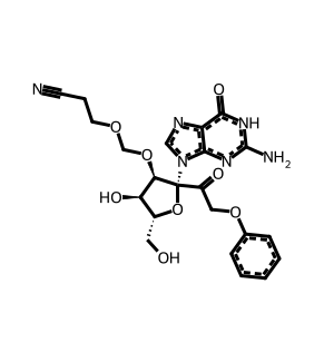 N#CCCOCO[C@@H]1[C@H](O)[C@@H](CO)O[C@@]1(C(=O)COc1ccccc1)n1cnc2c(=O)[nH]c(N)nc21